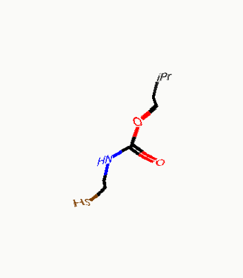 CC(C)COC(=O)NCS